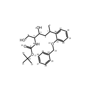 CC(CC(O)C(CO)NC(=O)OC(C)(C)C)c1ccccc1OCc1ccccc1